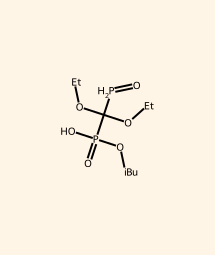 CCOC(OCC)([PH2]=O)P(=O)(O)OC(C)CC